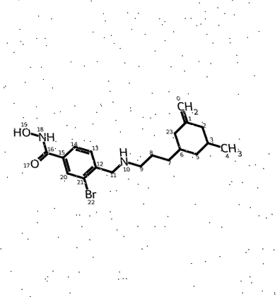 C=C1CC(C)CC(CCCNCc2ccc(C(=O)NO)cc2Br)C1